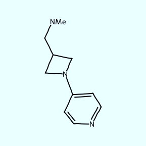 CNCC1CN(c2ccncc2)C1